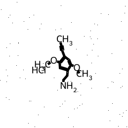 CC#Cc1cc(OC)c(CCN)cc1OC.Cl